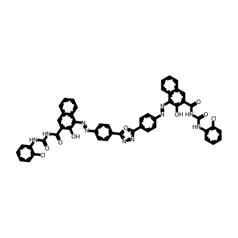 O=C(NC(=O)c1cc2ccccc2c(N=Nc2ccc(-c3nnc(-c4ccc(N=Nc5c(O)c(C(=O)NC(=O)Nc6ccccc6Cl)cc6ccccc56)cc4)o3)cc2)c1O)Nc1ccccc1Cl